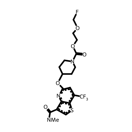 CNC(=O)c1csc2c(C(F)(F)F)cc(OC3CCN(C(=O)OCCOCF)CC3)nc12